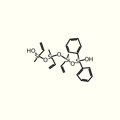 C=C[Si](C)(O)O[Si](C)(C=C)O[Si](C)(C=C)O[Si](O)(c1ccccc1)c1ccccc1